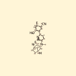 CN(c1ccc(-c2cc(C#N)c(F)cc2O)nn1)[C@@H]1C[C@H]2CC[C@H](C2)[C@@H]1F